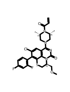 C=CC(=O)N1[C@H](C)CN(c2nc(=O)n3c4c(c(-c5ccc(F)cc5F)c(Cl)cc24)SC[C@@H]3COC)C[C@@H]1C